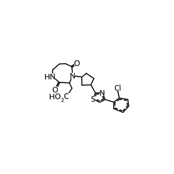 O=C(O)CC1C(=O)NCCCC(=O)N1C1CCC(c2nc(-c3ccccc3Cl)cs2)C1